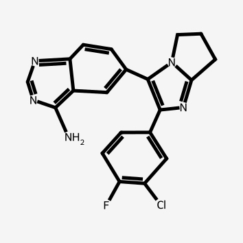 Nc1ncnc2ccc(-c3c(-c4ccc(F)c(Cl)c4)nc4n3CCC4)cc12